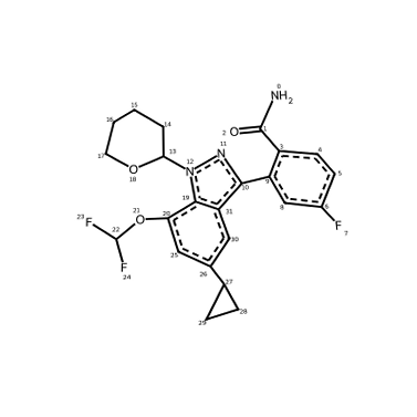 NC(=O)c1ccc(F)cc1-c1nn(C2CCCCO2)c2c(OC(F)F)cc(C3CC3)cc12